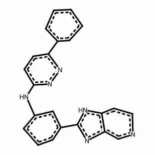 c1ccc(-c2ccc(Nc3cccc(-c4nc5cnccc5[nH]4)c3)nn2)cc1